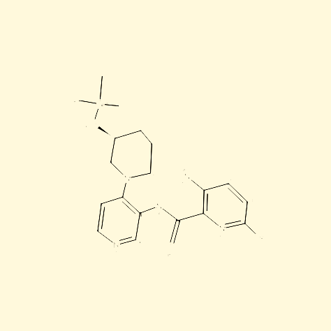 CC(C)(C)[Si](C)(C)O[C@H]1CCCN(c2ccncc2NC(=O)c2nc(Br)ccc2N)C1